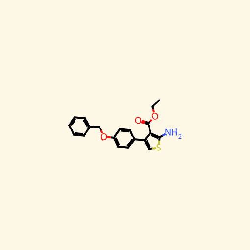 CCOC(=O)c1c(-c2ccc(OCc3ccccc3)cc2)csc1N